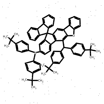 CC(C)(C)c1ccc(C(c2ccc(C(C)(C)C)cc2)c2c3c(cc4c2oc2ccccc24)C2(c4ccccc4-c4ccccc42)c2cc(N(c4ccc(C(C)(C)C)cc4)c4ccc(C(C)(C)C)cc4)ccc2-3)cc1